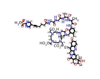 CCc1c2c(nc3ccc(OCc4ccc(NC(=O)[C@H](C)NC(=O)[C@@H](NC(=O)CNC(=O)CNC(=O)CCCC#Cc5cnc(S(C)(=O)=O)nc5)C(C)C)cc4CN(C)C(=O)CN4CCN(CC(=O)O)CCN(CC(=O)O)CCN(CC(=O)O)CC4)cc13)-c1cc3c(c(=O)n1C2)COC(=O)[C@]3(O)CC